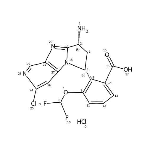 Cl.N[C@@H]1C[C@H](c2c(OC(F)F)cccc2C(=O)O)n2c1nc1cnc(Cl)cc12